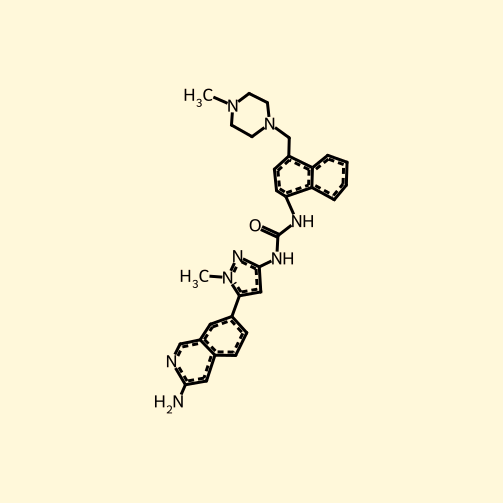 CN1CCN(Cc2ccc(NC(=O)Nc3cc(-c4ccc5cc(N)ncc5c4)n(C)n3)c3ccccc23)CC1